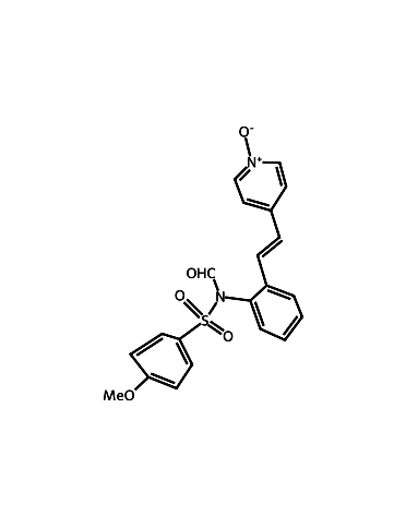 COc1ccc(S(=O)(=O)N(C=O)c2ccccc2C=Cc2cc[n+]([O-])cc2)cc1